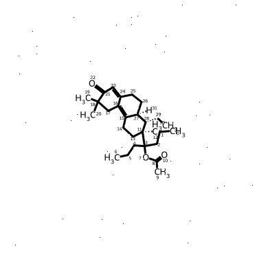 CCCC(CCC)(OC(C)=O)[C@@]1(C)CCC2=C3CC(C)(C)C(=O)C=C3CC[C@H]2[C@@H]1CC